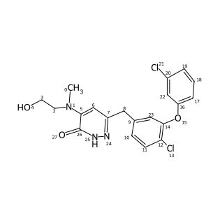 CN(CCO)c1cc(Cc2ccc(Cl)c(Oc3cccc(Cl)c3)c2)n[nH]c1=O